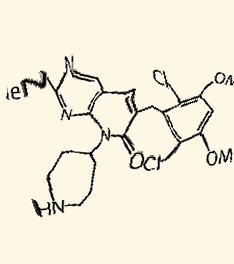 CNc1ncc2cc(-c3c(Cl)c(OC)cc(OC)c3Cl)c(=O)n(C3CCNCC3)c2n1